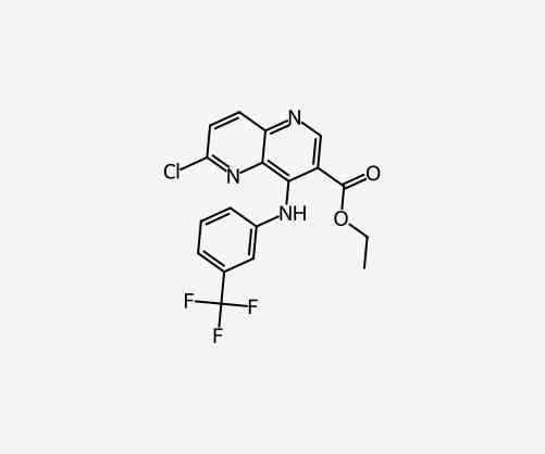 CCOC(=O)c1cnc2ccc(Cl)nc2c1Nc1cccc(C(F)(F)F)c1